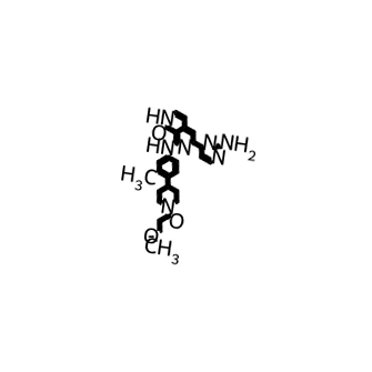 COCCC(=O)N1CCC(c2ccc(Nc3nc(-c4ccnc(N)n4)cc4cc[nH]c(=O)c34)cc2C)CC1